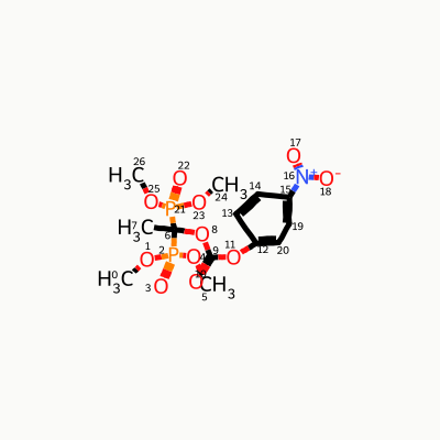 COP(=O)(OC)C(C)(OC(=O)Oc1ccc([N+](=O)[O-])cc1)P(=O)(OC)OC